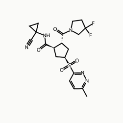 Cc1ccc(S(=O)(=O)[C@H]2C[C@@H](C(=O)NC3(C#N)CC3)[C@H](C(=O)N3CCC(F)(F)C3)C2)nn1